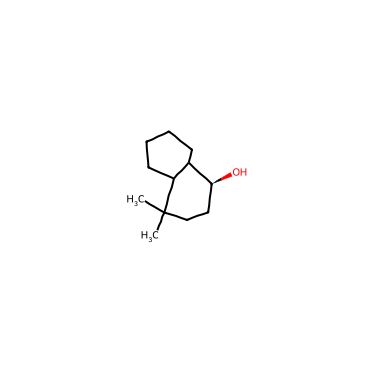 CC1(C)CC[C@H](O)C2CCCCC21